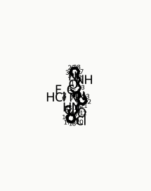 Cl.O=C(Cc1c(C(F)(F)F)nc2c(NC(=O)c3c(Cl)cccc3Cl)cccn12)Nc1ccccn1